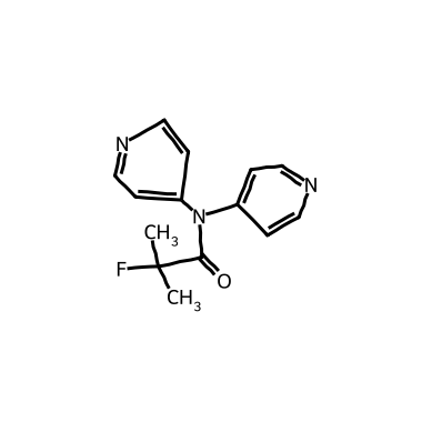 CC(C)(F)C(=O)N(c1ccncc1)c1ccncc1